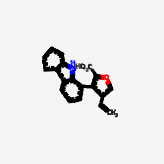 C=Cc1coc(C(=O)O)c1-c1cccc2c1[nH]c1ccccc12